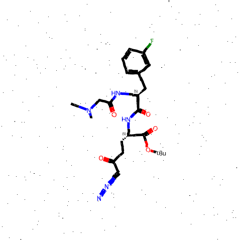 CN(C)CC(=O)N[C@@H](Cc1cccc(F)c1)C(=O)N[C@@H](CCC(=O)C=[N+]=[N-])C(=O)OC(C)(C)C